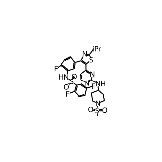 CC(C)c1nc(-c2ccc(F)c(NS(=O)(=O)c3cc(F)ccc3F)c2)c(-c2ccnc(NC3CCN(S(C)(=O)=O)CC3)n2)s1